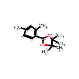 Cc1[c]c(C)c(B2OC(C)(C)C(C)(C)O2)cc1